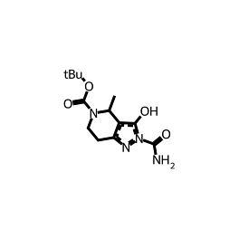 CC1c2c(nn(C(N)=O)c2O)CCN1C(=O)OC(C)(C)C